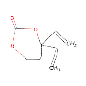 C=CC1(C=C)CCOC(=O)O1